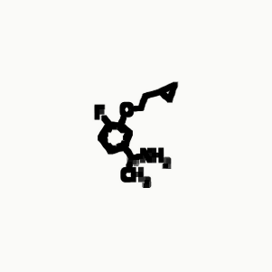 C[C@H](N)c1ccc(F)c(OCCC2CC2)c1